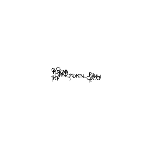 CCOc1cc(N2CCC(N3CCN(CCc4cc(F)c([C@H]5CCC(=O)NC5=O)c(F)c4)CC3)CC2)c(CC)cc1Nc1ncc(Cl)c(Nc2cc(F)c3nc(CC)ccc3c2P(C)(C)=O)n1